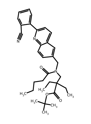 CCCCC(=O)N(Cc1ccc2nc(-c3ccccc3C#N)ccc2c1)CC(CC)(CC)C(=O)OC(C)(C)C